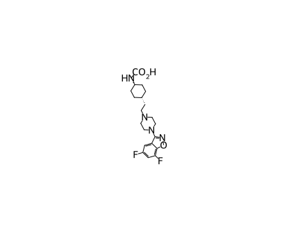 O=C(O)N[C@H]1CC[C@H](CCN2CCN(c3noc4c(F)cc(F)cc34)CC2)CC1